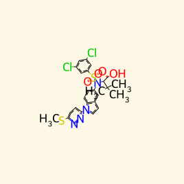 CSc1ccc(-n2ccc3cc(N(C(C(=O)O)C(C)(C)C)S(=O)(=O)c4cc(Cl)cc(Cl)c4)ccc32)nn1